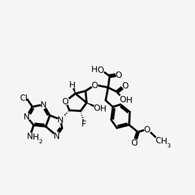 COC(=O)c1ccc(CC(OC2[C@H]3O[C@@H](n4cnc5c(N)nc(Cl)nc54)[C@@H](F)[C@@]23O)(C(=O)O)C(=O)O)cc1